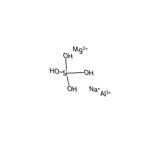 O[Si](O)(O)O.[Al+3].[Mg+2].[Na+]